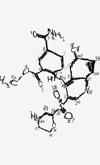 COC(=O)c1cc(C(N)=O)ccc1Nc1c(S(=O)(=O)C2CNCCO2)cnc2ccc(Cl)cc12